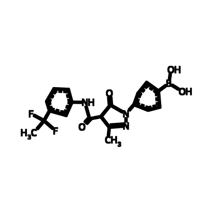 CC1=NN(c2ccc(B(O)O)cc2)C(=O)C1C(=O)Nc1cccc(C(C)(F)F)c1